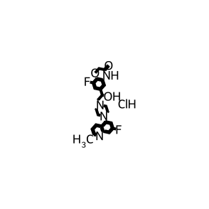 Cc1ccc2c(N3CCN(CC(O)c4cc(F)c5c(c4)NC(=O)CO5)CC3)cc(F)cc2n1.Cl